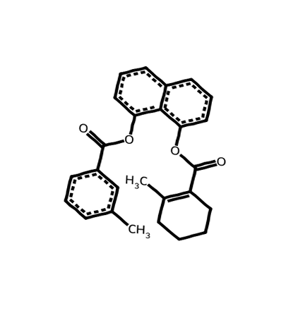 CC1=C(C(=O)Oc2cccc3cccc(OC(=O)c4cccc(C)c4)c23)CCCC1